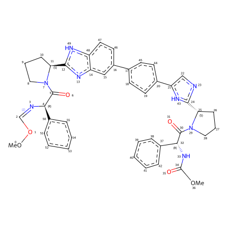 COO/C=N\[C@@H](C(=O)N1CCC[C@H]1c1nc2cc(-c3ccc(-c4cnc([C@@H]5CCCN5C(=O)[C@H](NC(=O)OC)c5ccccc5)[nH]4)cc3)ccc2[nH]1)c1ccccc1